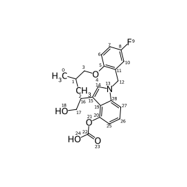 CC(C)COc1ccc(F)cc1Cn1cc(CCO)c2c(OC(=O)O)cccc21